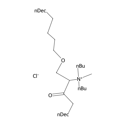 CCCCCCCCCCCCCCOCC(C(=O)CCCCCCCCCCC)[N+](C)(CCCC)CCCC.[Cl-]